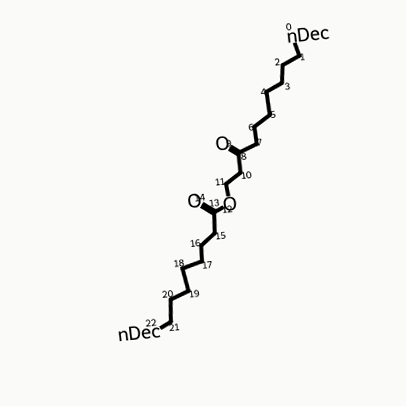 CCCCCCCCCCCCCCCCCC(=O)CCOC(=O)CCCCCCCCCCCCCCCCC